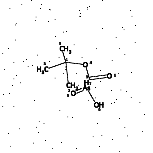 CC(C)(C)OC(=O)[AsH](=O)O